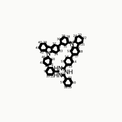 N=C(NC(NCc1ccccc1)C1=CC=C(c2ccc3c4ccccc4n(-c4cccc(-c5ccc6c(c5)c5ccccc5n6-c5ccccc5)c4)c3c2)CC1)c1ccccc1